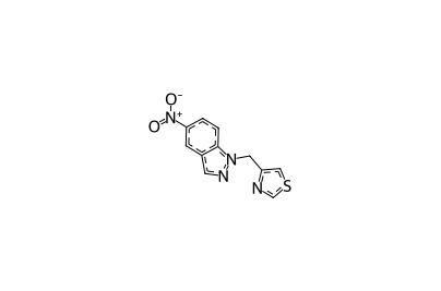 O=[N+]([O-])c1ccc2c(cnn2Cc2cscn2)c1